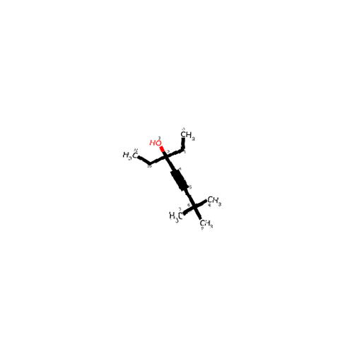 CCC(O)(C#CC(C)(C)C)CC